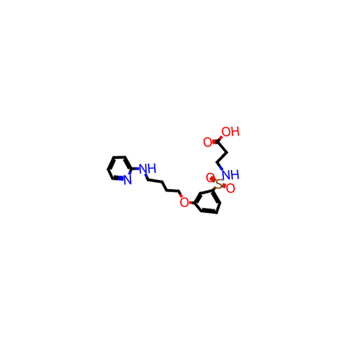 O=C(O)CCNS(=O)(=O)c1cccc(OCCCCNc2ccccn2)c1